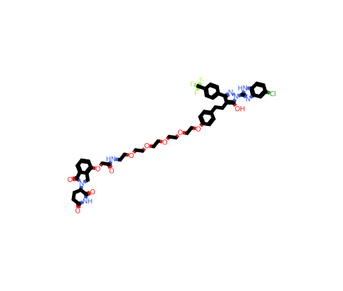 O=C(COc1cccc2c1CN(C1CCC(=O)NC1=O)C2=O)NCCOCCOCCOCCOCCOc1ccc(CCc2c(-c3ccc(C(F)(F)F)cc3)nn(-c3nc4cc(Cl)ccc4[nH]3)c2O)cc1